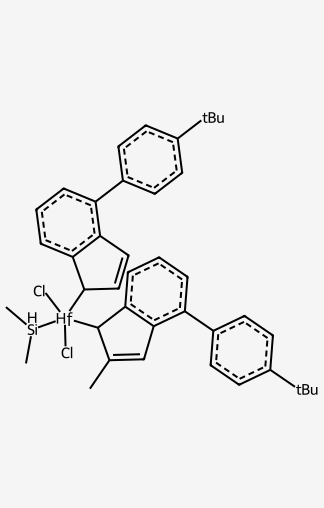 CC1=Cc2c(-c3ccc(C(C)(C)C)cc3)cccc2[CH]1[Hf]([Cl])([Cl])([CH]1C=Cc2c(-c3ccc(C(C)(C)C)cc3)cccc21)[SiH](C)C